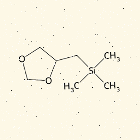 C[Si](C)(C)CC1CO[CH]O1